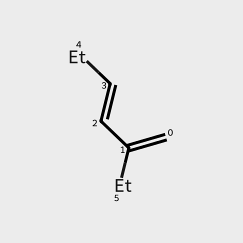 C=C(C=CCC)CC